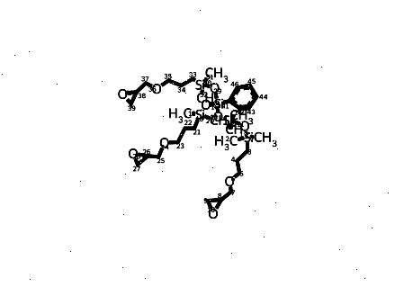 C[Si](C)(CCCOCC1CO1)O[Si](C)(C)O[Si](O[Si](C)(C)CCCOCC1CO1)(O[Si](C)(C)CCCOCC1CO1)c1ccccc1